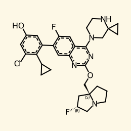 Oc1cc(Cl)c(C2CC2)c(-c2cc3nc(OC[C@@]45CCCN4C[C@H](F)C5)nc(N4CCNC5(CC5)C4)c3cc2F)c1